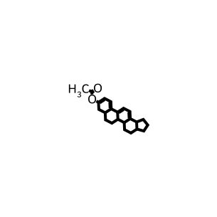 CC(=O)OC1=CC=C2C3=CC=C4C5CCCC5CCC4C3CCC2C1